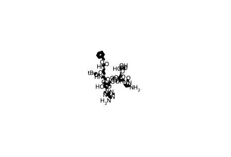 CC(C)(C)OC(=O)N[C@H](CCCNC(=O)OCc1ccccc1)C(=O)OC1C(COP(=O)(O)O[C@H]2C[C@H](n3ccc(N)nc3=O)O[C@@H]2COP(=O)(O)O)OC(n2cnc3c(N)ncnc32)C1O